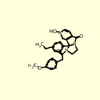 CCc1ccc(C23C4=C(C=CN(O)C4)C(=O)N2CCN3C(=O)Cc2ccc(OC)cc2)cc1